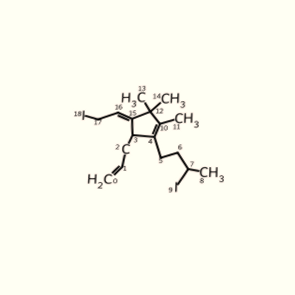 C=CCC1C(CCC(C)I)=C(C)C(C)(C)/C1=C/CI